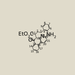 CCOC(=O)C(CCc1ccccc1)CC(=O)c1ccccc1-c1ccc(N)nc1